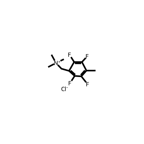 Cc1c(F)c(F)c(C[N+](C)(C)C)c(F)c1F.[Cl-]